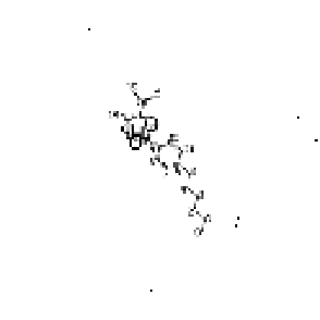 CCCCCCc1ccc(C(=O)OC(C(C)C)C(C)S)cc1